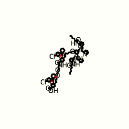 CCCCCC(=O)Nc1cccc(CN(Cc2cc(CN(Cc3ccccn3)Cc3cccc(NC(=O)CCCCC)n3)cc(OCCCCN(Cc3ccc(C(=O)NCCOCCOCCN(Cc4ccc(C(=O)O)cc4)C(=O)C4(c5ccc(Cl)cc5)CCCCC4)cc3)C(=O)C3(c4ccc(Cl)cc4)CCCCC3)c2)Cc2ccccn2)n1